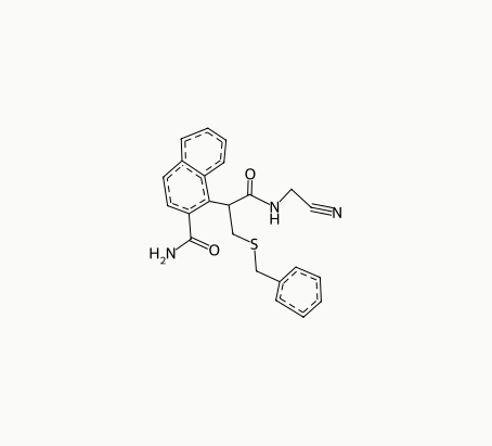 N#CCNC(=O)C(CSCc1ccccc1)c1c(C(N)=O)ccc2ccccc12